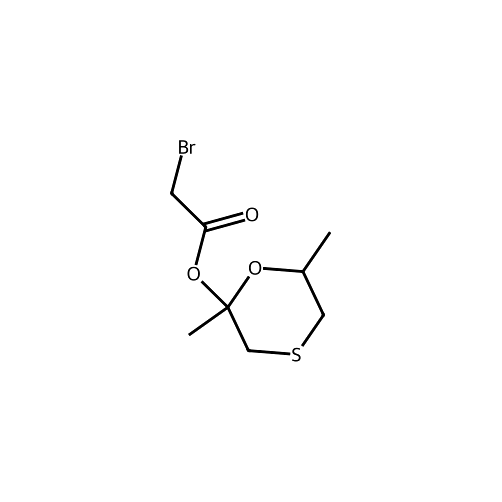 CC1CSCC(C)(OC(=O)CBr)O1